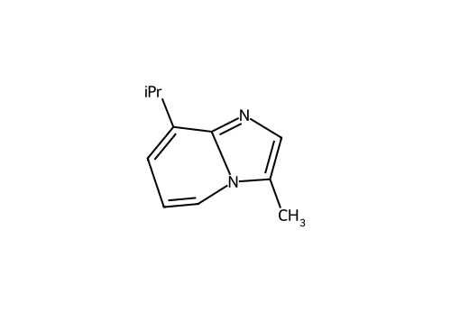 Cc1cnc2c(C(C)C)cccn12